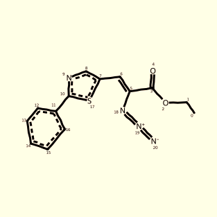 CCOC(=O)C(=Cc1cnc(-c2ccccc2)s1)N=[N+]=[N-]